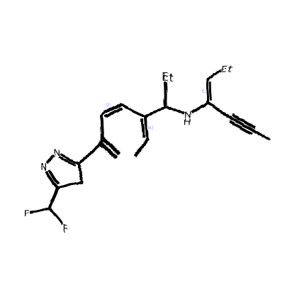 C=C(/C=C\C(=C/C)C(CC)N/C(C#CC)=C/CC)C1=NN=C(C(F)F)C1